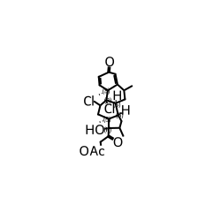 CC(=O)OCC(=O)[C@@]1(O)C(C)C[C@H]2[C@@H]3CC(C)C4=CC(=O)C=C[C@]4(C)[C@@]3(Cl)C(Cl)C[C@@]21C